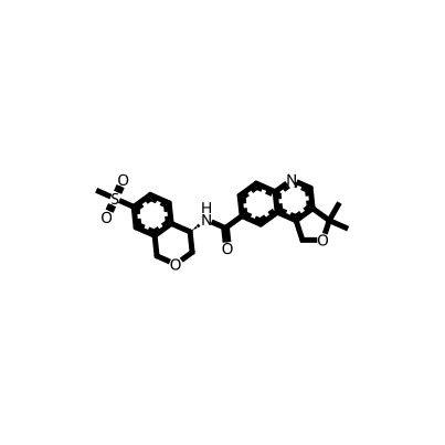 CC1(C)OCc2c1cnc1ccc(C(=O)N[C@@H]3COCc4cc(S(C)(=O)=O)ccc43)cc21